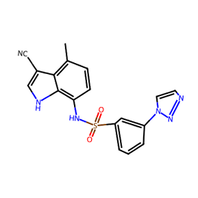 Cc1ccc(NS(=O)(=O)c2cccc(-n3ccnn3)c2)c2[nH]cc(C#N)c12